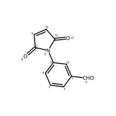 O=[C]c1cccc(N2C(=O)C=CC2=O)c1